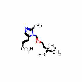 CCCCc1ncc(C=CC(=O)O)n1COCC[Si](C)(C)C